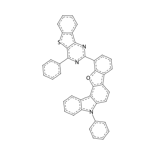 c1ccc(-c2nc(-c3cccc4c3oc3c4ccc4c3c3ccccc3n4-c3ccccc3)nc3c2sc2ccccc23)cc1